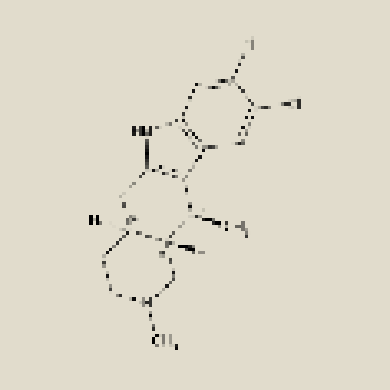 C[C@@H]1c2c([nH]c3cc(Cl)c(Cl)cc23)C[C@@H]2CCN(C)C[C@H]21